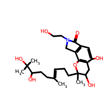 C/C(=C\CCC1(C)Oc2c(c(O)cc3c2CN(CCO)C3=O)CC1O)CCC(O)C(C)(C)O